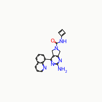 Nc1nc2c(c(-c3cccc4cccnc34)n1)CN(C(=O)NC1=CC=C1)C2